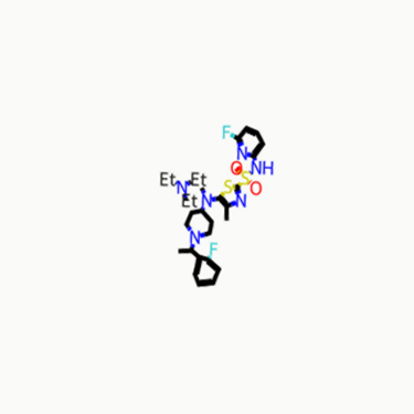 CCN(CC)CC.Cc1nc(S(=O)(=O)Nc2cccc(F)n2)sc1N(C)C1CCN(C(C)c2ccccc2F)CC1